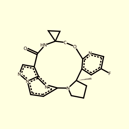 C[C@]12CCCN1c1ccn3ncc(c3n1)C(=O)NC1(CC1)COc1ncc(F)cc12